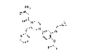 NC(=O)CC(=O)N1CCN(c2ccc(OC(F)F)c(OCC3CC3)c2)CC1Cc1ccccc1